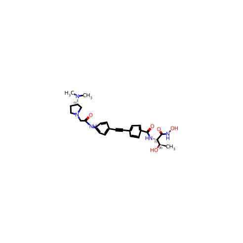 C[C@@H](O)[C@H](NC(=O)c1ccc(C#Cc2ccc(NC(=O)CN3CC[C@H](N(C)C)C3)cc2)cc1)C(=O)NO